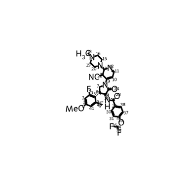 COc1cc(F)c([C@@H]2CN(C3=CC=NC(N4CCN(C)CC4)C3C#N)C(=O)[C@H]2NC(=O)c2ccc(OC(F)F)cc2)c(F)c1